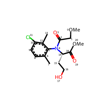 COCC(=O)N(c1c(C)ccc(Cl)c1C)[C@@H](CCO)C(=O)OC